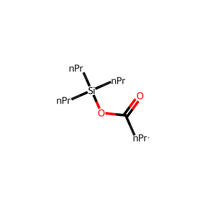 CC[CH]C(=O)O[Si](CCC)(CCC)CCC